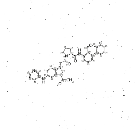 CC(=O)c1cn(CC(=O)N2CCC[C@H]2C(=O)Nc2cccc(-c3ccccc3Cl)c2F)c2ccc(Nc3cncnc3)cc12